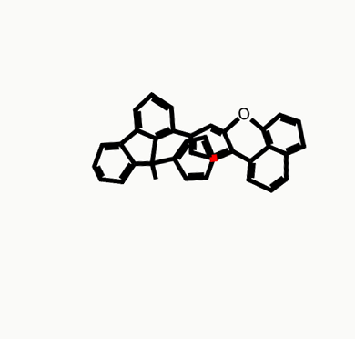 CC1(c2ccccc2)c2ccccc2-c2cccc(-c3ccc4c(c3)Oc3cccc5cccc-4c35)c21